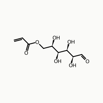 C=CC(=O)OC[C@@H](O)[C@H](O)[C@@H](O)[C@H](O)C=O